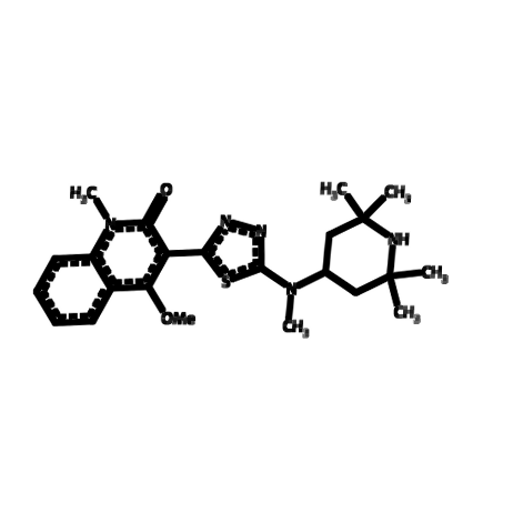 COc1c(-c2nnc(N(C)C3CC(C)(C)NC(C)(C)C3)s2)c(=O)n(C)c2ccccc12